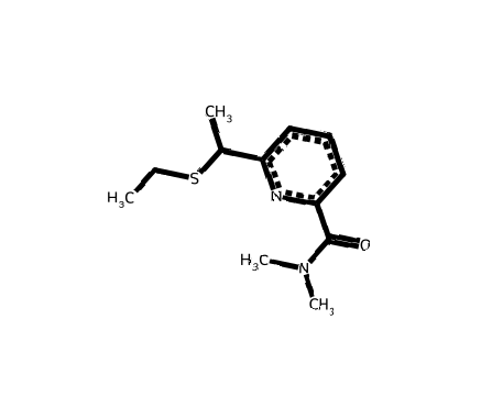 CCSC(C)c1cccc(C(=O)N(C)C)n1